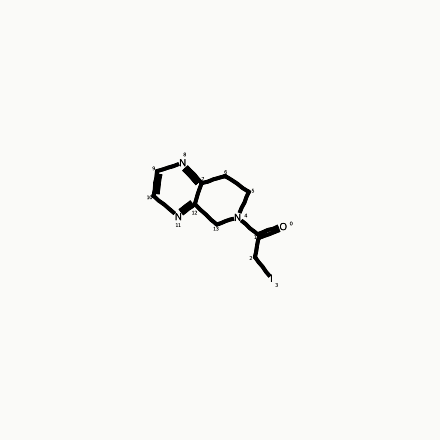 O=C(CI)N1CCc2nccnc2C1